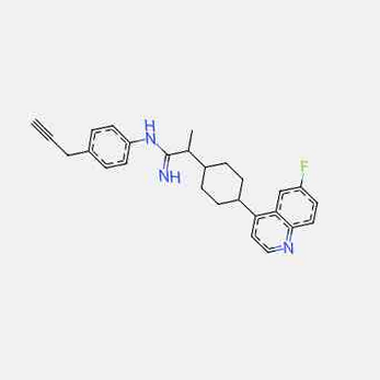 C#CCc1ccc(NC(=N)C(C)C2CCC(c3ccnc4ccc(F)cc34)CC2)cc1